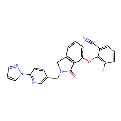 N#Cc1cccc(F)c1Oc1cccc2c1C(=O)N(Cc1ccc(-n3cccn3)nc1)C2